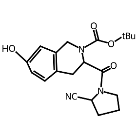 CC(C)(C)OC(=O)N1Cc2cc(O)ccc2CC1C(=O)N1CCCC1C#N